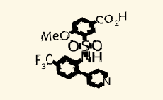 COc1ccc(C(=O)O)cc1S(=O)(=O)Nc1cc(C(F)(F)F)ccc1-c1ccncc1